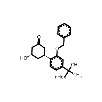 CCCCCCC(C)(C)c1ccc([C@H]2CC(=O)C[C@@H](O)C2)c(OCc2ccccc2)c1